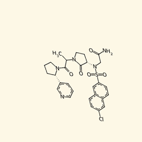 CC(C(=O)N1CCC[C@H]1c1cccnc1)N1CC[C@H](N(CC(N)=O)S(=O)(=O)c2ccc3cc(Cl)ccc3c2)C1=O